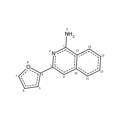 Nc1nc(-c2ccco2)cc2ccccc12